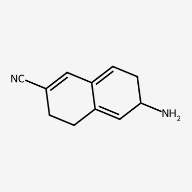 N#CC1=CC2=CCC(N)C=C2CC1